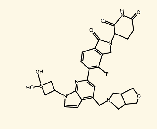 O=C1CCC(N2Cc3c(ccc(-c4cc(CN5CC6COCC6C5)c5ccn(C6CS(O)(O)C6)c5n4)c3F)C2=O)C(=O)N1